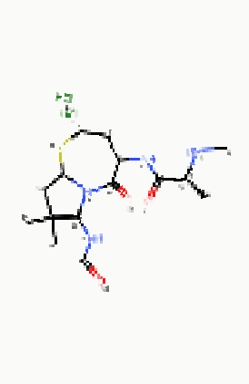 CN[C@@H](C)C(=O)NC1CCSC2CC(C)(C)C(NC=O)N2C1=O.Cl.Cl